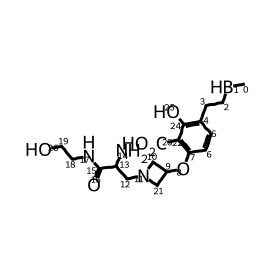 CBCCc1ccc(OC2CN(CC(N)C(=O)NCCO)C2)c(C(=O)O)c1O